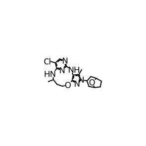 Cc1c2c(nn1C1CC3CCC(C1)O3)OCCC(C)Nc1nc(ncc1Cl)N2